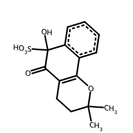 CC1(C)CCC2=C(O1)c1ccccc1C(O)(S(=O)(=O)O)C2=O